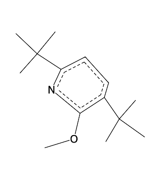 COc1nc(C(C)(C)C)ccc1C(C)(C)C